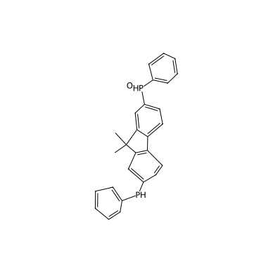 CC1(C)c2cc(Pc3ccccc3)ccc2-c2ccc([PH](=O)c3ccccc3)cc21